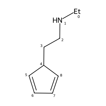 CCNCCC1C=CC=C1